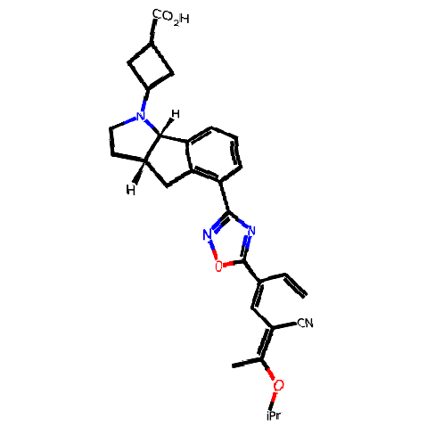 C=C/C(=C\C(C#N)=C(/C)OC(C)C)c1nc(-c2cccc3c2C[C@@H]2CCN(C4CC(C(=O)O)C4)[C@H]32)no1